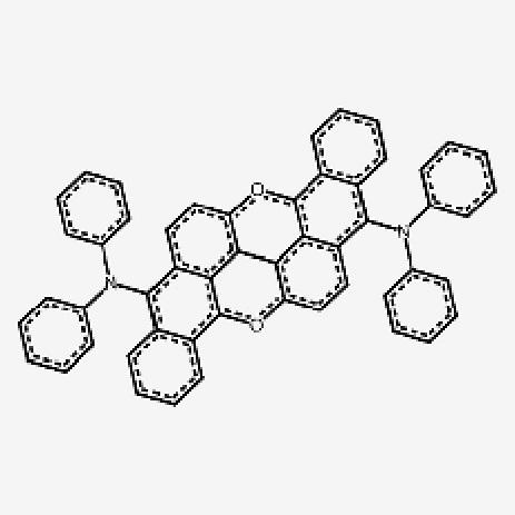 c1ccc(N(c2ccccc2)c2c3ccccc3c3oc4ccc5c(N(c6ccccc6)c6ccccc6)c6ccccc6c6oc7ccc2c3c7-c4c56)cc1